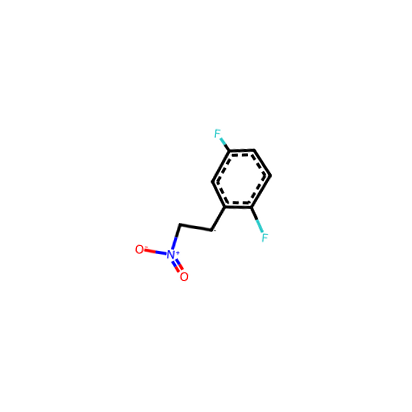 O=[N+]([O-])C[CH]c1cc(F)ccc1F